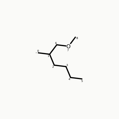 [CH2]C(CCCC)COC